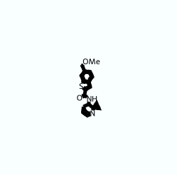 COCc1ccc2cc(C(=O)NC3C4CCN(CC4)C34CC4)sc2c1